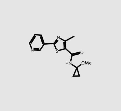 COC1(NC(=O)c2sc(-c3cccnc3)nc2C)CC1